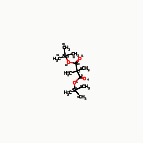 CC(C)(C(=O)O[Si](C)(C)C)C(=O)O[Si](C)(C)C